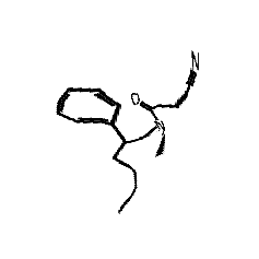 CCCC(c1ccccc1)N(C)C(=O)CC#N